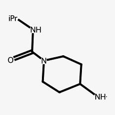 CC(C)NC(=O)N1CCC([NH])CC1